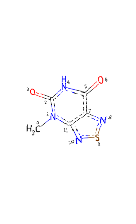 Cn1c(=O)[nH]c(=O)c2nsnc21